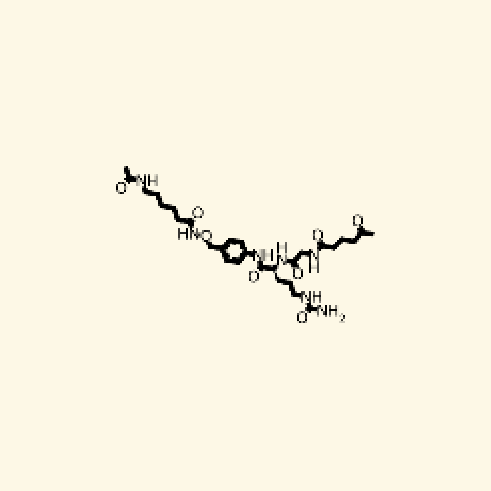 CC(=O)CCCC(=O)NCC(=O)N[C@@H](CCCNC(N)=O)C(=O)Nc1ccc(CONC(=O)CCCCCNC(C)=O)cc1